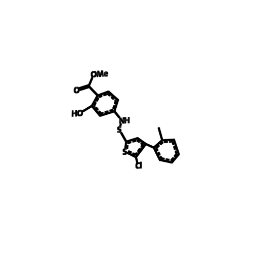 COC(=O)c1ccc(NSc2cc(-c3ccccc3C)c(Cl)s2)cc1O